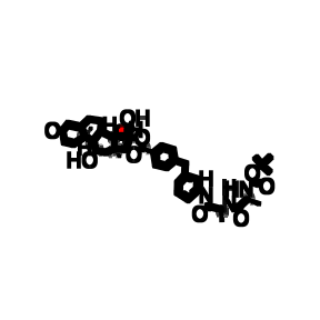 C[C@H](NC(=O)OC(C)(C)C)C(=O)N[C@@H](C)C(=O)Nc1cccc(Cc2ccc([C@@H]3O[C@@H]4C[C@H]5C6CCC7=CC(=O)C=C[C@]7(C)[C@H]6[C@@H](O)C[C@]5(C)[C@]4(C(=O)CO)O3)cc2)c1